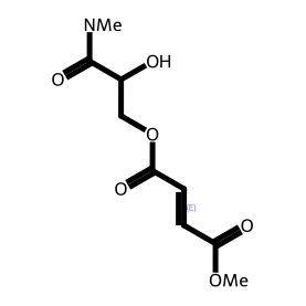 CNC(=O)C(O)COC(=O)/C=C/C(=O)OC